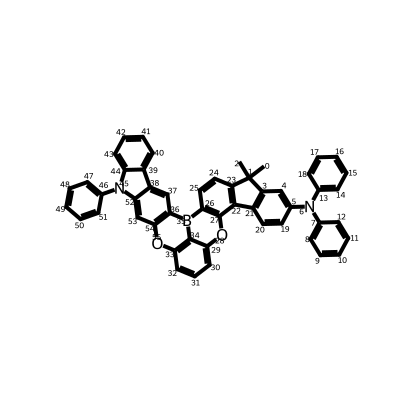 CC1(C)c2cc(N(c3ccccc3)c3ccccc3)ccc2-c2c1ccc1c2Oc2cccc3c2B1c1cc2c4ccccc4n(-c4ccccc4)c2cc1O3